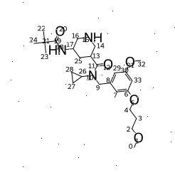 COCCCOc1cc(CN(C(=O)C2CNCC(NC(=O)C(C)(C)C)C2)C2CC2)cc(OC)c1